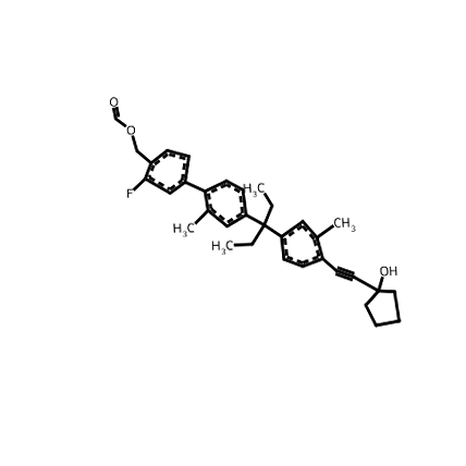 CCC(CC)(c1ccc(C#CC2(O)CCCC2)c(C)c1)c1ccc(-c2ccc(COC=O)c(F)c2)c(C)c1